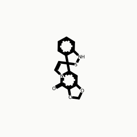 O=c1c2c(cc3n1C=CC31SNc3ccccc31)OCO2